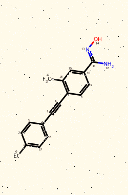 CCc1ccc(C#Cc2ccc(/C(N)=N/O)cc2C(F)(F)F)cc1